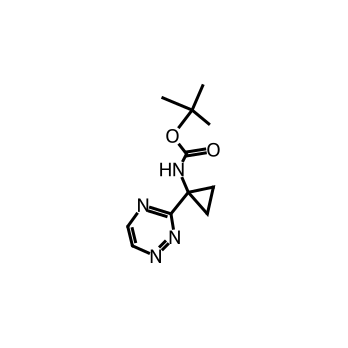 CC(C)(C)OC(=O)NC1(c2nccnn2)CC1